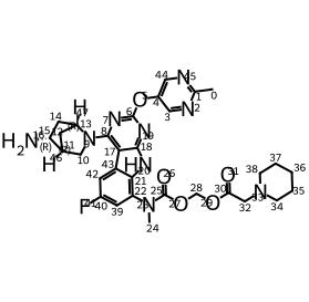 Cc1ncc(Oc2nc(N3C[C@H]4C[C@@H]3C[C@H]4N)c3c(n2)[nH]c2c(N(C)C(=O)OCOC(=O)CN4CCCCC4)cc(F)cc23)cn1